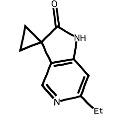 CCc1cc2c(cn1)C1(CC1)C(=O)N2